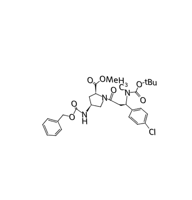 COC(=O)[C@@H]1C[C@H](NC(=O)OCc2ccccc2)CN1C(=O)C[C@H](c1ccc(Cl)cc1)N(C)C(=O)OC(C)(C)C